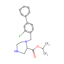 O=C(OC(C(F)(F)F)C(F)(F)F)C1CNCCN1Cc1ccc(-c2ccccc2)cc1F